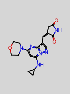 O=C1CC(=Cc2cnn3c(NC4CC4)cc(N4CCOCC4)nc23)C(=O)N1